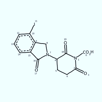 O=C(O)N1C(=O)CCC(N2Cc3c(I)cccc3C2=O)C1=O